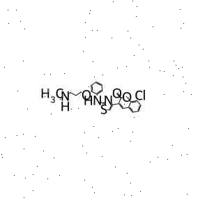 CNCCCOc1ccccc1Nc1nc(-c2cc3cccc(Cl)c3oc2=O)cs1